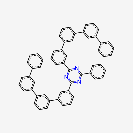 c1ccc(-c2cccc(-c3cccc(-c4cccc(-c5nc(-c6ccccc6)nc(-c6cccc(-c7cccc(-c8cccc(-c9ccccc9)c8)c7)c6)n5)c4)c3)c2)cc1